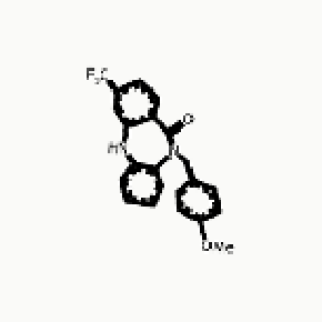 COc1ccc(CN2C(=O)c3ccc(C(F)(F)F)cc3Nc3ccccc32)cc1